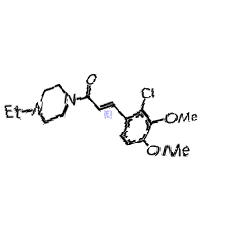 CCN1CCN(C(=O)/C=C/c2ccc(OC)c(OC)c2Cl)CC1